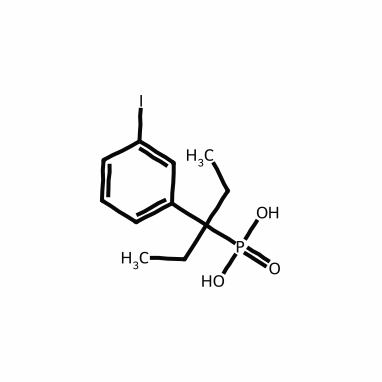 CCC(CC)(c1cccc(I)c1)P(=O)(O)O